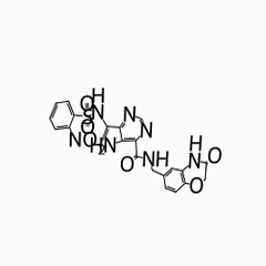 O=C1COc2ccc(CNC(=O)c3ncnc4c(NS(=O)(=O)c5ccccc5[N+](=O)[O-])c[nH]c34)cc2N1